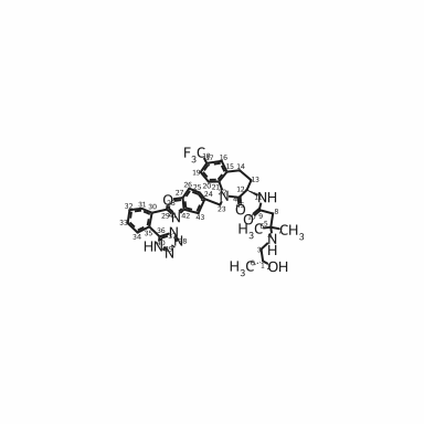 C[C@@H](O)CNC(C)(C)CC(=O)N[C@@H]1CCc2cc(C(F)(F)F)ccc2N(Cc2ccc3oc(-c4ccccc4-c4nnn[nH]4)nc3c2)C1=O